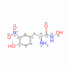 N[C@@H](Cc1ccc(O)c([N+](=O)[O-])c1)C(=O)NO